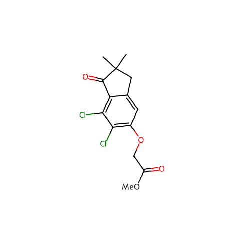 COC(=O)COc1cc2c(c(Cl)c1Cl)C(=O)C(C)(C)C2